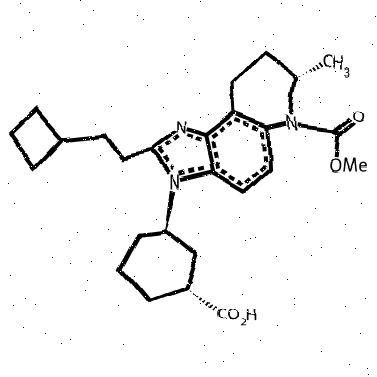 COC(=O)N1c2ccc3c(nc(CCC4CCC4)n3[C@@H]3CCC[C@@H](C(=O)O)C3)c2CC[C@@H]1C